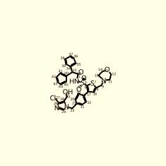 O=C(NS(=O)(=O)c1sc(CN2CCOCC2)cc1-c1ccc(Cn2cnc(Cl)c2CO)cc1)C(c1ccccc1)c1ccccc1